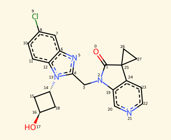 O=C1N(Cc2nc3cc(Cl)ccc3n2[C@H]2C[C@H](O)C2)c2cnccc2C12CC2